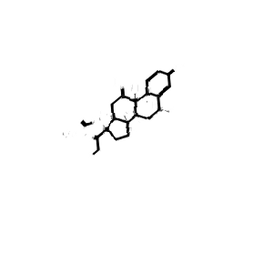 COC(=O)O[C@]1(C(=O)CO)CC[C@H]2[C@@H]3C[C@H](F)C4=CC(=O)C=C[C@]4(C)[C@H]3C(O)C[C@@]21C